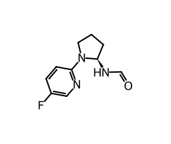 O=CN[C@@H]1CCCN1c1ccc(F)cn1